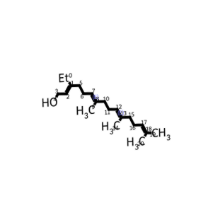 CCC(=CCO)CC/C=C(\C)CC/C=C(\C)CCC=C(C)C